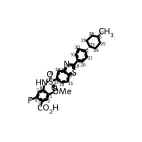 COc1cc(C(=O)O)c(F)cc1NS(=O)(=O)c1ccc2sc(-c3ccc([C@H]4CC[C@H](C)CC4)cc3)nc2c1